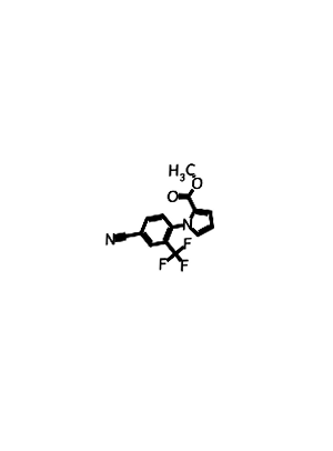 COC(=O)c1cccn1-c1ccc(C#N)cc1C(F)(F)F